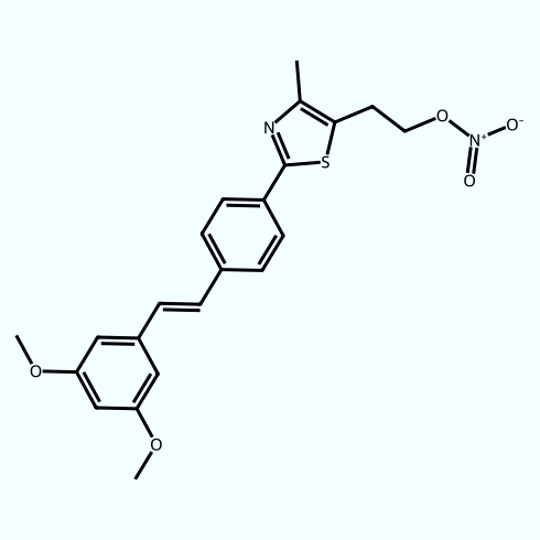 COc1cc(C=Cc2ccc(-c3nc(C)c(CCO[N+](=O)[O-])s3)cc2)cc(OC)c1